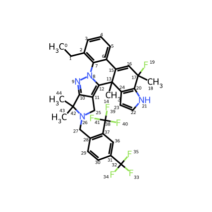 CCc1cccc2c1-n1nc3c(c1C1(C)C2=CC(C)(F)c2[nH]ccc21)CN(Cc1ccc(C(F)(F)F)cc1C(F)(F)F)C3(C)C